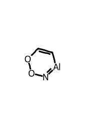 C1=[CH][Al]=[N]OO1